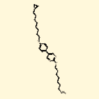 CCCCCCCCSc1ncc(-c2ccc(OCCCCCCCCC3CC3)cc2)cn1